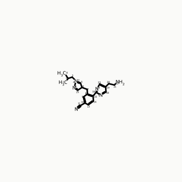 CC(C)C[N+]1=CC(Cc2cc(C#N)ccc2-c2ncc(CCN)cn2)C=N1